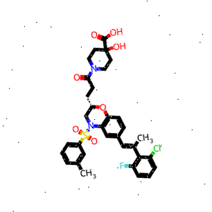 C/C(=C\c1ccc2c(c1)N(S(=O)(=O)c1cccc(C)c1)C[C@H](CCC(=O)N1CCC(O)(C(=O)O)CC1)O2)c1c(F)cccc1Cl